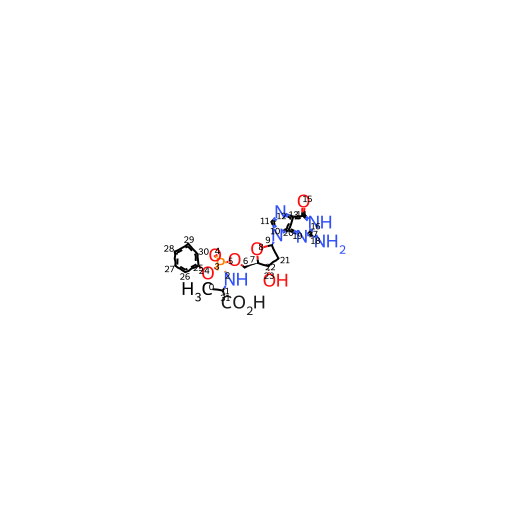 CC(NP(=O)(OC[C@H]1O[C@@H](n2cnc3c(=O)[nH]c(N)nc32)C[C@@H]1O)Oc1ccccc1)C(=O)O